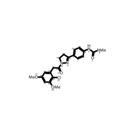 CNC(=O)Nc1ccc(C2=NN(C(=O)Cc3cc(OC)cc(OC)c3Cl)CC2)cc1